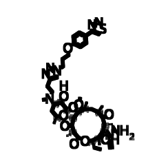 C#CN(N)[C@@H]1[C@@H](C)C(=O)[C@H](C)C[C@@](C)(OC)[C@H](O[C@@H]2O[C@@H](C)C[C@H](N(C)CCc3cn(CCCOc4ccc(-c5csnn5)cc4)nn3)[C@H]2O)[C@@H](C)C(=O)[C@@H](C)C(=O)O[C@H](CC)[C@@]1(C)O